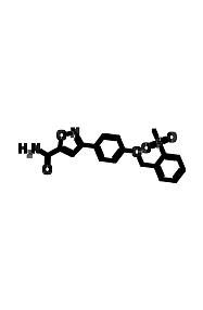 CS(=O)(=O)c1ccccc1COc1ccc(-c2cc(C(N)=O)on2)cc1